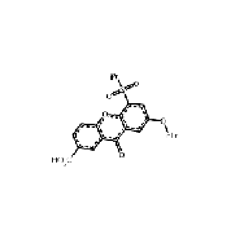 CCCOc1cc(S(=O)(=O)C(C)C)c2oc3ccc(C(=O)O)cc3c(=O)c2c1